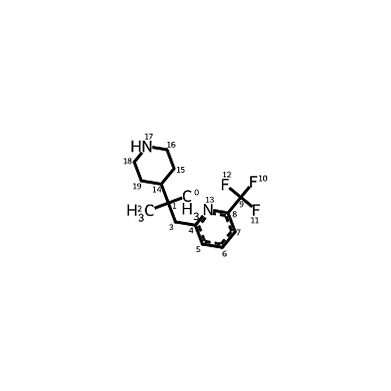 CC(C)(Cc1cccc(C(F)(F)F)n1)C1CCNCC1